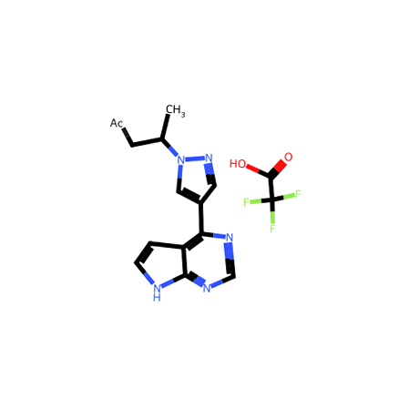 CC(=O)CC(C)n1cc(-c2ncnc3[nH]ccc23)cn1.O=C(O)C(F)(F)F